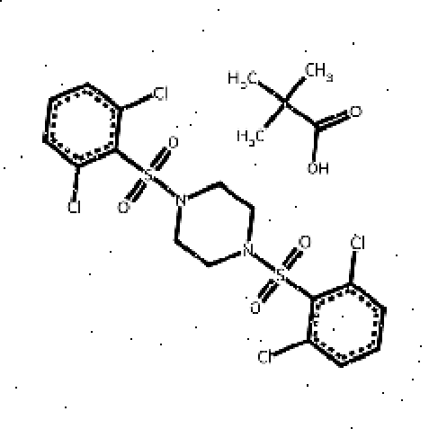 CC(C)(C)C(=O)O.O=S(=O)(c1c(Cl)cccc1Cl)N1CCN(S(=O)(=O)c2c(Cl)cccc2Cl)CC1